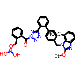 CCOc1nc2cccc(C(=O)O)c2n1Cc1ccc(-c2ccccc2-c2nnn(C(=O)c3ccccc3CON(O)O)n2)cc1